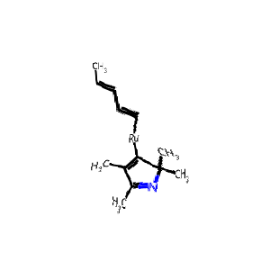 CC=CC=[CH][Ru][C]1=C(C)C(C)=NC1(C)C